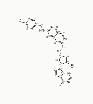 Cc1ncnc2c1ccn2[C@@H]1O[C@H](CCc2ccc3ccc(NCc4ccc(Cl)cc4)nc3c2)C[C@H]1O